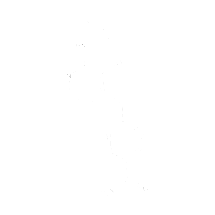 CC1(C)COc2c(Oc3ccc(C(N)=O)cc3)ccnc2N1